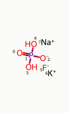 O=P([O-])(O)O.[F-].[K+].[Na+]